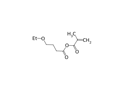 C=C(C)C(=O)OC(=O)CCCOCC